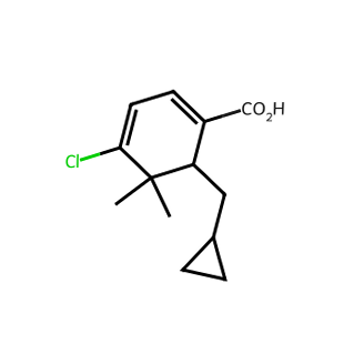 CC1(C)C(Cl)=CC=C(C(=O)O)C1CC1CC1